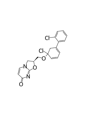 O=c1ccn2c(n1)O[C@H](COC1(Cl)C=CC=C(c3ccccc3Cl)C1)C2